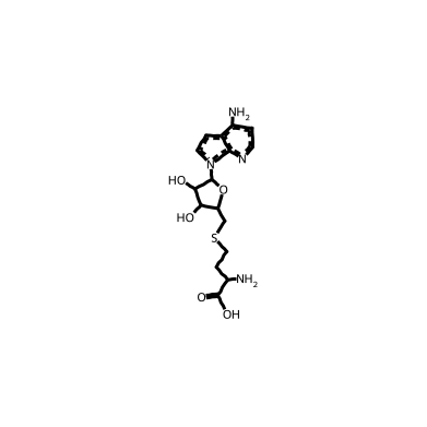 Nc1ccnc2c1ccn2C1OC(CSCCC(N)C(=O)O)C(O)C1O